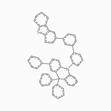 c1ccc(-c2ccc3c(c2)C(c2ccccc2)(c2ccccc2)c2ccccc2N3c2cccc(-c3cccc(-c4ccc5sc6ccccc6c5c4)c3)c2)cc1